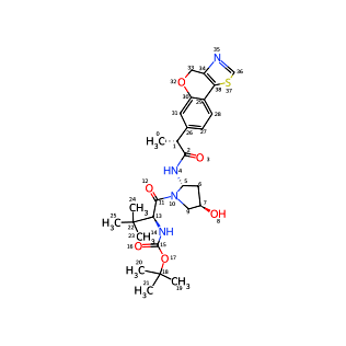 C[C@@H](C(=O)N[C@@H]1C[C@@H](O)CN1C(=O)[C@@H](NC(=O)OC(C)(C)C)C(C)(C)C)c1ccc2c(c1)OCc1ncsc1-2